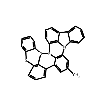 Cc1cc2c3c(c1)-n1c4ccccc4c4cccc(c41)B3N1c3ccccc3Sc3cccc-2c31